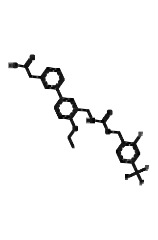 CCOc1ccc(-c2cccc(CC(=O)O)c2)cc1CNC(=O)OCc1ccc(C(F)(F)F)cc1F